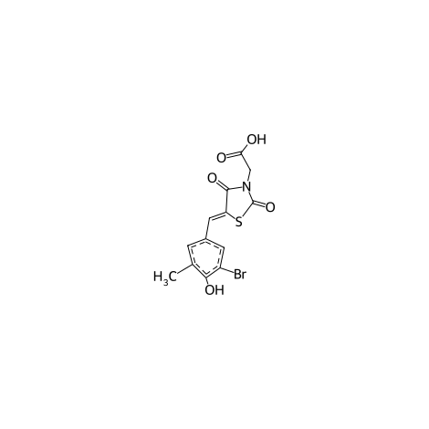 Cc1cc(/C=C2\SC(=O)N(CC(=O)O)C2=O)cc(Br)c1O